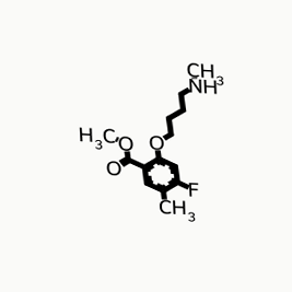 CNCCCCOc1cc(F)c(C)cc1C(=O)OC